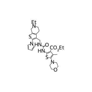 CCOC(=O)c1c(NC(=O)NCc2c(-n3cccc3)sc3c2CCN(CC)C3)sc(N2CCOCC2)c1C